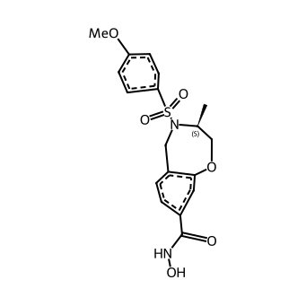 COc1ccc(S(=O)(=O)N2Cc3ccc(C(=O)NO)cc3OC[C@@H]2C)cc1